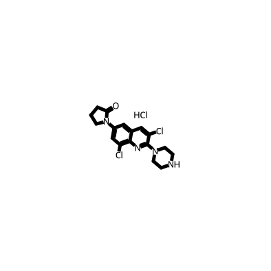 Cl.O=C1CCCN1c1cc(Cl)c2nc(N3CCNCC3)c(Cl)cc2c1